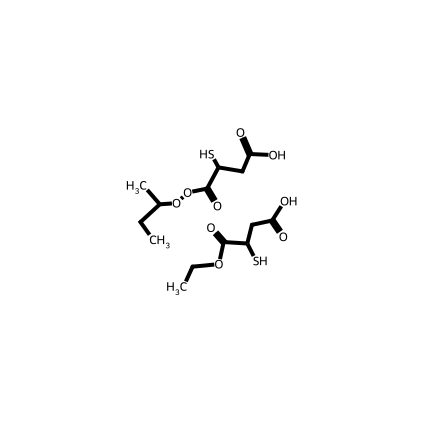 CCC(C)OOC(=O)C(S)CC(=O)O.CCOC(=O)C(S)CC(=O)O